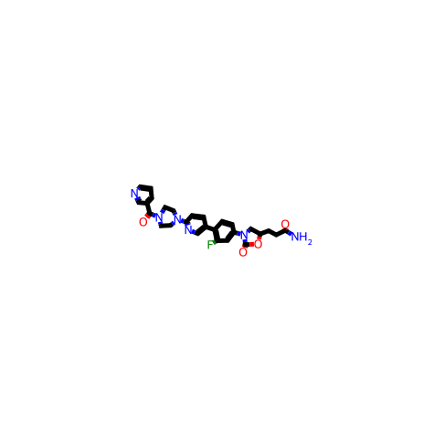 NC(=O)CCC1CN(c2ccc(-c3ccc(N4CCN(C(=O)c5cccnc5)CC4)nc3)c(F)c2)C(=O)O1